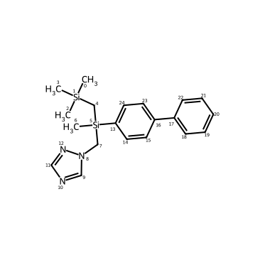 C[Si](C)(C)C[Si](C)(Cn1cncn1)c1ccc(-c2ccccc2)cc1